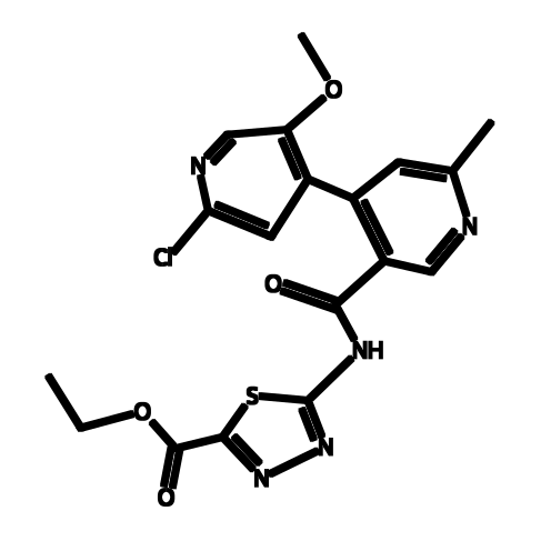 CCOC(=O)c1nnc(NC(=O)c2cnc(C)cc2-c2cc(Cl)ncc2OC)s1